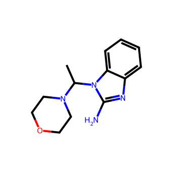 CC(N1CCOCC1)n1c(N)nc2ccccc21